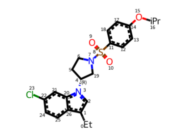 CCc1cn([C@@H]2CCN(S(=O)(=O)c3ccc(OC(C)C)cc3)C2)c2cc(Cl)ccc12